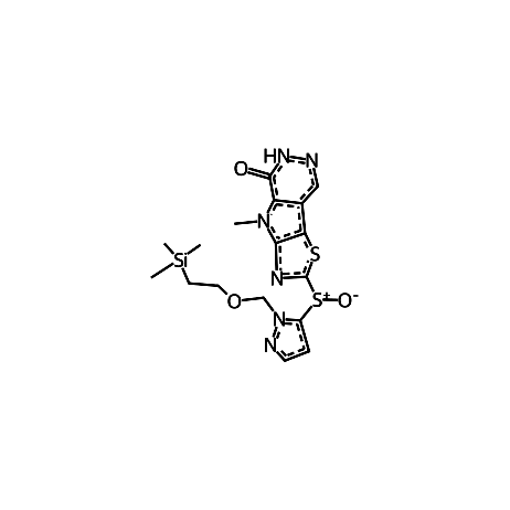 Cn1c2nc([S+]([O-])c3ccnn3COCC[Si](C)(C)C)sc2c2cn[nH]c(=O)c21